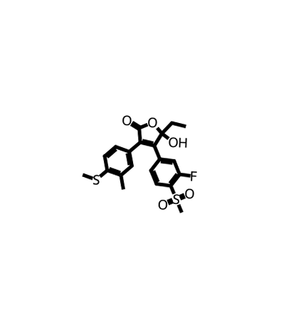 CCC1(O)OC(=O)C(c2ccc(SC)c(C)c2)=C1c1ccc(S(C)(=O)=O)c(F)c1